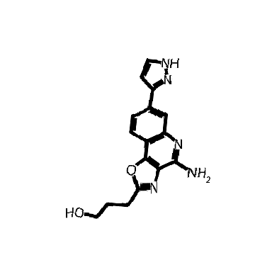 Nc1nc2cc(-c3cc[nH]n3)ccc2c2oc(CCCO)nc12